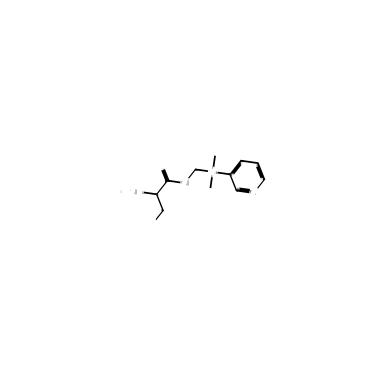 CC(=O)NC(CS)C(=O)NC[Si](C)(C)c1cccnc1